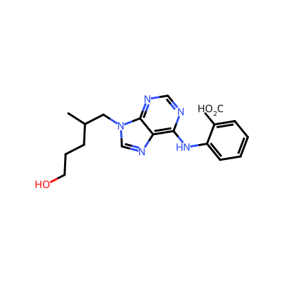 CC(CCCO)Cn1cnc2c(Nc3ccccc3C(=O)O)ncnc21